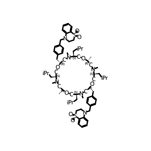 CC(C)C[C@H]1CO[C@H](C)CN(C)[C@@H](CC(C)C)CO[C@H](Cc2ccc(CN3CCS(=O)(=O)c4ccccc43)cc2)CN(C)[C@@H](CC(C)C)CO[C@H](C)CN(C)[C@@H](CC(C)C)CO[C@H](Cc2ccc(CN3CCS(=O)(=O)c4ccccc43)cc2)CN1C